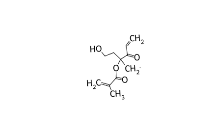 [CH2]C(CCO)(OC(=O)C(=C)C)C(=O)C=C